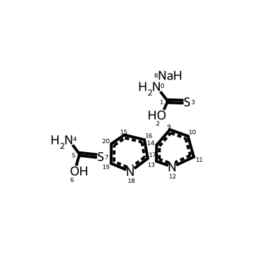 NC(O)=S.NC(O)=S.[NaH].c1ccncc1.c1ccncc1